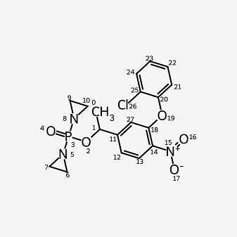 CC(OP(=O)(N1CC1)N1CC1)c1ccc([N+](=O)[O-])c(Oc2ccccc2Cl)c1